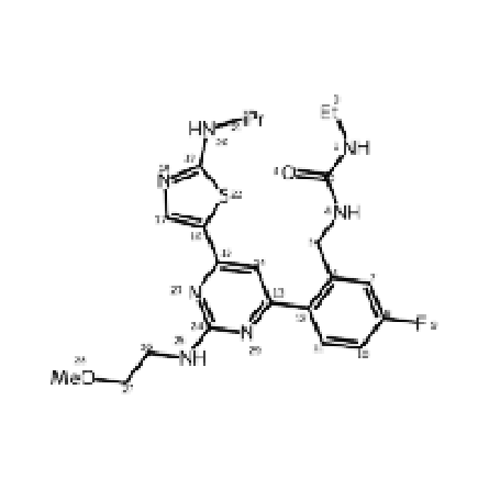 CCNC(=O)NCc1cc(F)ccc1-c1cc(-c2cnc(NC(C)C)s2)nc(NCCOC)n1